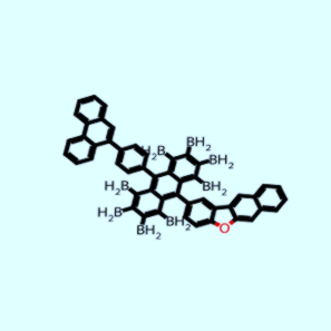 Bc1c(B)c(B)c2c(-c3ccc4oc5cc6ccccc6cc5c4c3)c3c(B)c(B)c(B)c(B)c3c(-c3ccc(-c4cc5ccccc5c5ccccc45)cc3)c2c1B